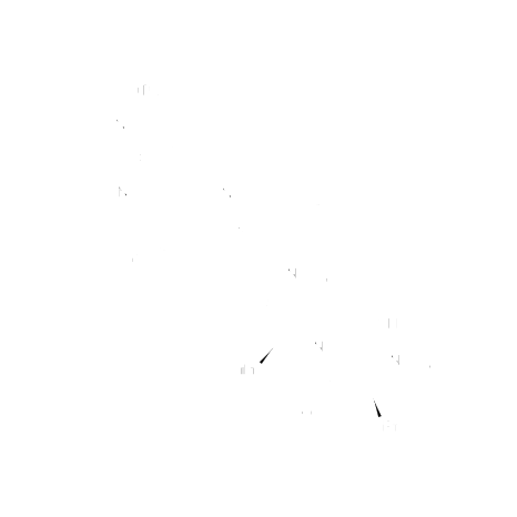 CC(C)[C@H](NC(=O)[C@H](C(C)C)N(C)C)C(=O)N(C)[C@H](C(=O)N1CCC[C@H]1C(=O)[N+]1(C(=O)NC(C)(C)C)CCC[C@H]1C)C(C)C